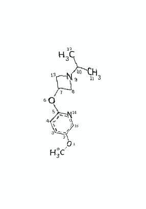 COc1ccc(OC2CN(C(C)C)C2)nc1